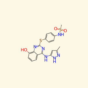 Cc1cc(Nc2nc(Sc3ccc(NS(C)(=O)=O)cc3)nc3c(O)cccc23)[nH]n1